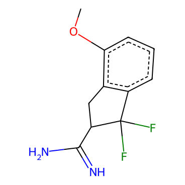 COc1cccc2c1CC(C(=N)N)C2(F)F